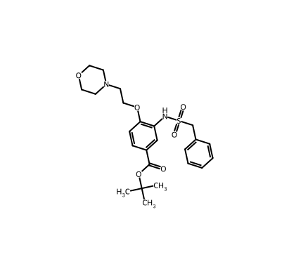 CC(C)(C)OC(=O)c1ccc(OCCN2CCOCC2)c(NS(=O)(=O)Cc2ccccc2)c1